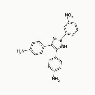 Nc1ccc(-c2nc(-c3cccc([N+](=O)[O-])c3)[nH]c2-c2ccc(N)cc2)cc1